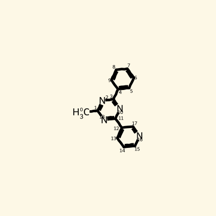 Cc1nc(-c2ccccc2)nc(-c2cccnc2)n1